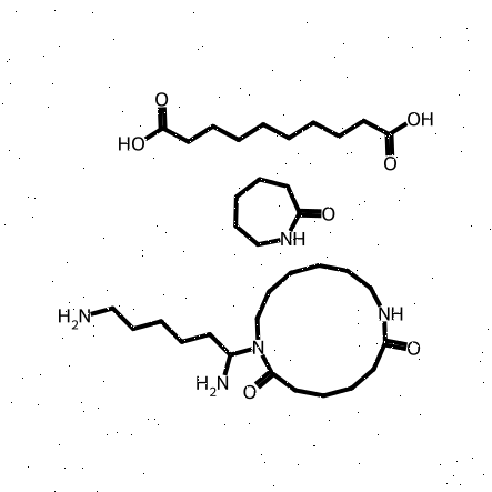 NCCCCCC(N)N1CCCCCCNC(=O)CCCCC1=O.O=C(O)CCCCCCCCC(=O)O.O=C1CCCCCN1